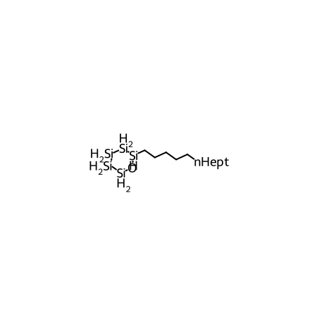 CCCCCCCCCCCC[SiH]1O[SiH2][SiH2][SiH2][SiH2]1